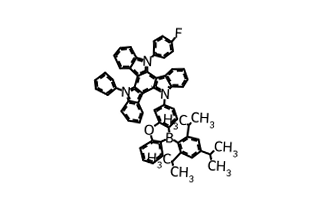 CC(C)c1cc(C(C)C)c(B2c3ccccc3Oc3cc(-n4c5ccccc5c5c6c(c7ccccc7n6-c6ccc(F)cc6)c6c(c7ccccc7n6-c6ccccc6)c54)ccc32)c(C(C)C)c1